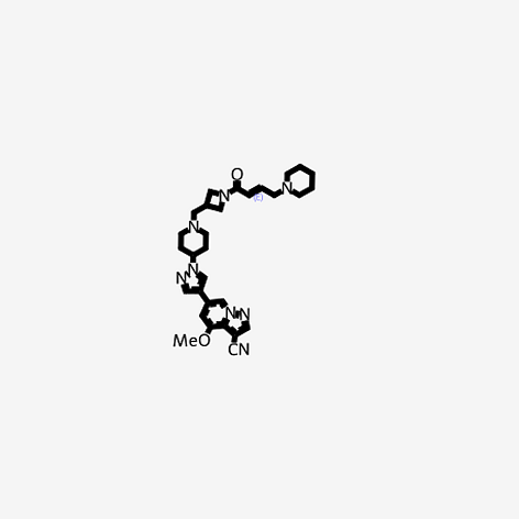 COc1cc(-c2cnn(C3CCN(CC4CN(C(=O)/C=C/CN5CCCCC5)C4)CC3)c2)cn2ncc(C#N)c12